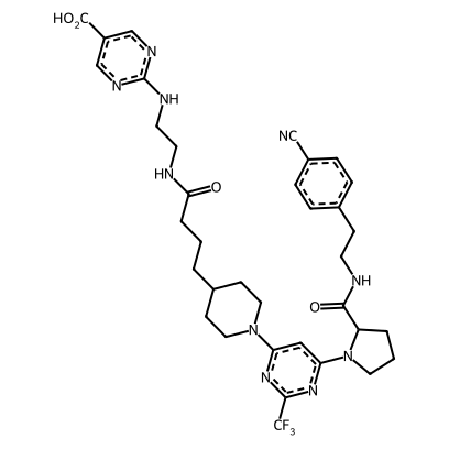 N#Cc1ccc(CCNC(=O)C2CCCN2c2cc(N3CCC(CCCC(=O)NCCNc4ncc(C(=O)O)cn4)CC3)nc(C(F)(F)F)n2)cc1